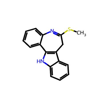 CSC1=Nc2ccccc2-c2[nH]c3ccccc3c2C1